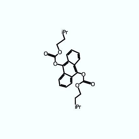 CC(C)CCOC(=O)Oc1c2ccccc2c(OC(=O)OCCC(C)C)c2ccccc12